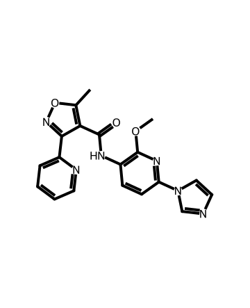 COc1nc(-n2ccnc2)ccc1NC(=O)c1c(-c2ccccn2)noc1C